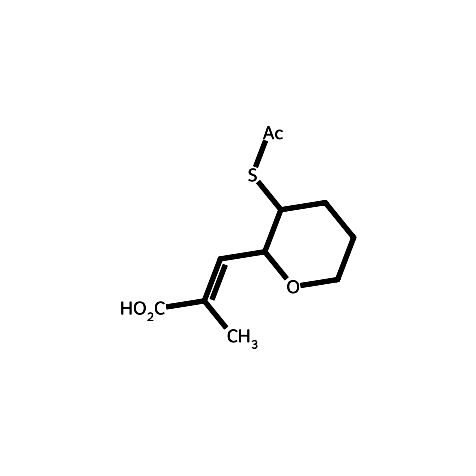 CC(=O)SC1CCCOC1C=C(C)C(=O)O